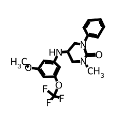 COc1cc(NC2CN(C)C(=O)N(c3ccccc3)C2)cc(OC(F)(F)F)c1